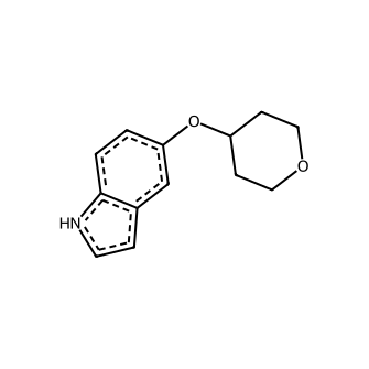 c1cc2cc(OC3CCOCC3)ccc2[nH]1